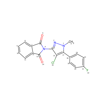 Cn1nc(N2C(=O)c3ccccc3C2=O)c(Cl)c1-c1ccc(F)cc1